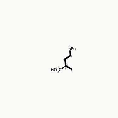 CCCCCC[C@@H](C)C(=O)O